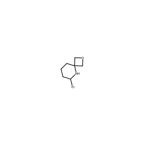 CCC1CCCC2(COC2)N1